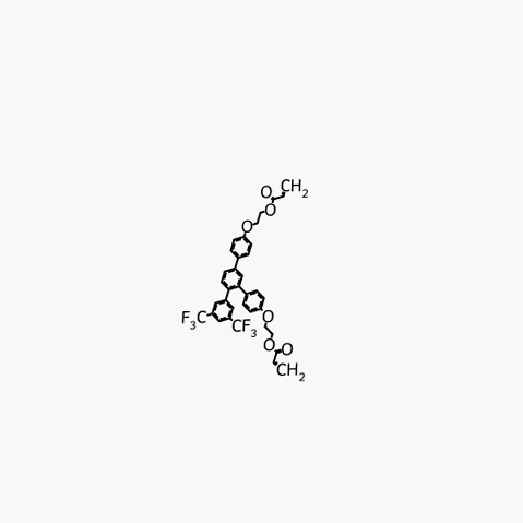 C=CC(=O)OCCOc1ccc(-c2ccc(-c3cc(C(F)(F)F)cc(C(F)(F)F)c3)c(-c3ccc(OCCOC(=O)C=C)cc3)c2)cc1